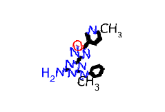 Cc1ccc(-c2nc(-c3nc(N)nc(N(C)c4ccccc4)n3)no2)cn1